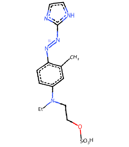 CCN(CCOS(=O)(=O)O)c1ccc(/N=N/c2ncc[nH]2)c(C)c1